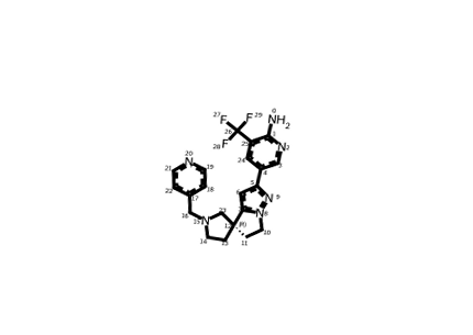 Nc1ncc(-c2cc3n(n2)CC[C@@]32CCN(Cc3ccncc3)C2)cc1C(F)(F)F